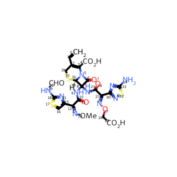 C=CC1=C(C(=O)O)N2C(=O)C(NC(=O)/C(=N\OC)c3csc(NC=O)n3)(NC(=O)/C(=N/OCC(=O)O)c3nsc(N)n3)[C@H]2SC1